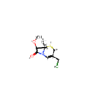 COC1C(=O)N2C=C(CCl)CS[C@@H]12